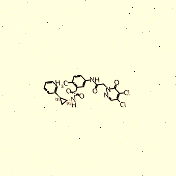 Cc1ccc(NC(=O)Cn2ncc(Cl)c(Cl)c2=O)cc1S(=O)(=O)N[C@@H]1C[C@H]1c1ccccc1